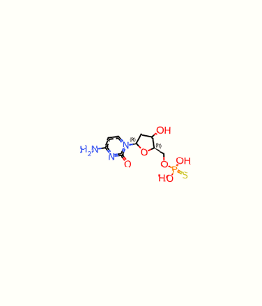 Nc1ccn([C@H]2CC(O)[C@@H](COP(O)(O)=S)O2)c(=O)n1